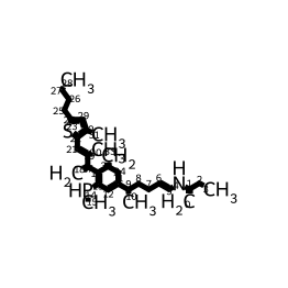 C=C(CC)N/C=C/CCC(C)C1=CC(PC)=C(C(=C)/C(C)=C/c2sc(CCCC)cc2C)C(=C)C1